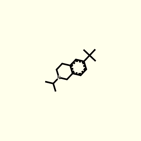 CC(C)N1CCc2cc(C(C)(C)C)ccc2C1